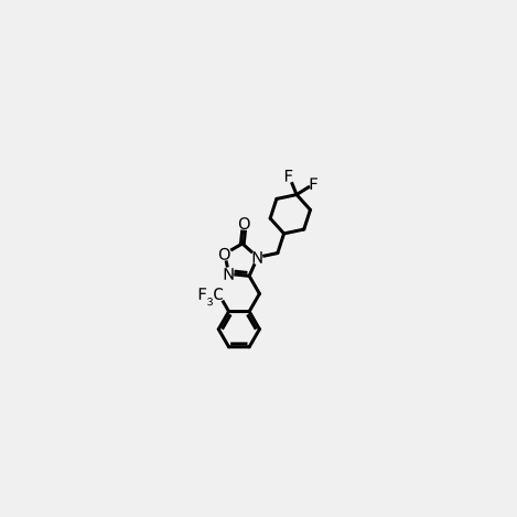 O=c1onc(Cc2ccccc2C(F)(F)F)n1CC1CCC(F)(F)CC1